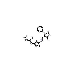 Cc1onc(-c2ccccc2)c1/C=C/c1ncc(OC(=O)NC(C)C)s1